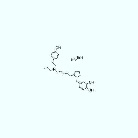 Br.Br.CCCN(CCCCCN1CCCC1Cc1ccc(O)c(O)c1)CCc1ccc(O)cc1